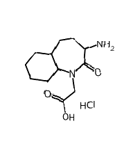 Cl.NC1CCC2CCCCC2N(CC(=O)O)C1=O